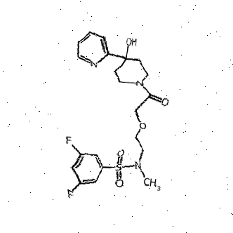 CN(CCOCC(=O)N1CCC(O)(c2ccccn2)CC1)S(=O)(=O)c1cc(F)cc(F)c1